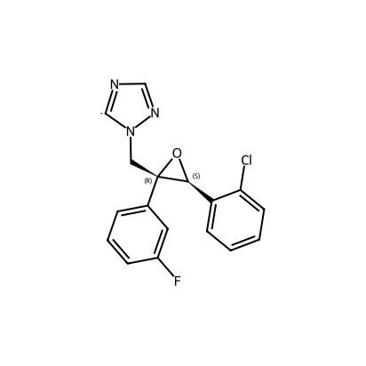 Fc1cccc([C@]2(Cn3[c]ncn3)O[C@H]2c2ccccc2Cl)c1